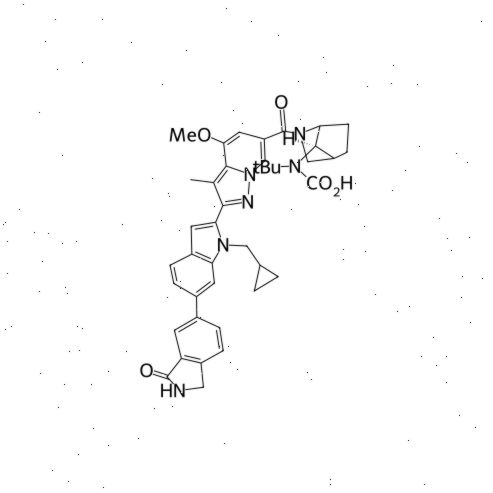 COc1cc(C(=O)N2CC3CCC2[C@@H]3N(C(=O)O)C(C)(C)C)cn2nc(-c3cc4ccc(-c5ccc6c(c5)C(=O)NC6)cc4n3CC3CC3)c(C)c12